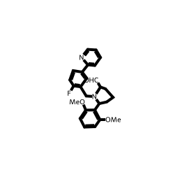 COc1cccc(OC)c1C1CCCC(C=O)N1Cc1cc(-c2ccccn2)ccc1F